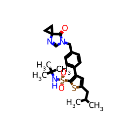 CC(C)Cc1cc(-c2ccc(CN3C=NC4(CC4)C3=O)cc2)c(S(=O)(=O)NC(C)(C)C)s1